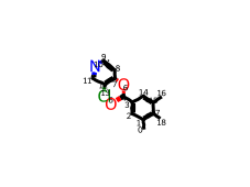 Cc1cc(C(=O)Oc2c[c]ncc2Cl)cc(C)c1C